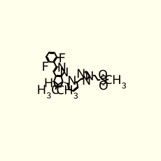 CC1(C)[C@H]2CC[C@@]1(c1cccc(-c3ncn(CCS(C)(=O)=O)n3)n1)c1nnc(-c3c(F)cccc3F)cc12